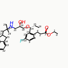 CCOC(=O)CCc1ccc(F)cc1[C@@H](CC)OC[C@H](O)CNC(C)(C)CC1Cc2ccccc2C1